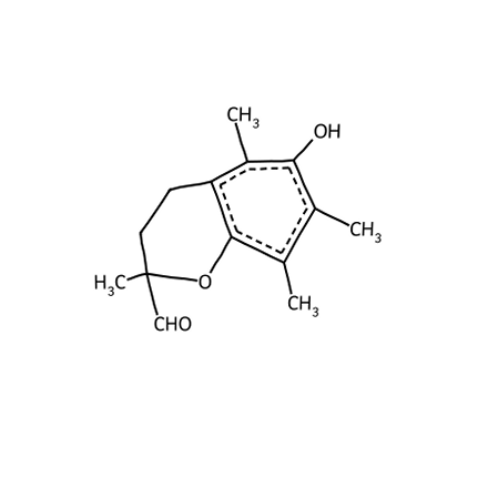 Cc1c(C)c2c(c(C)c1O)CCC(C)(C=O)O2